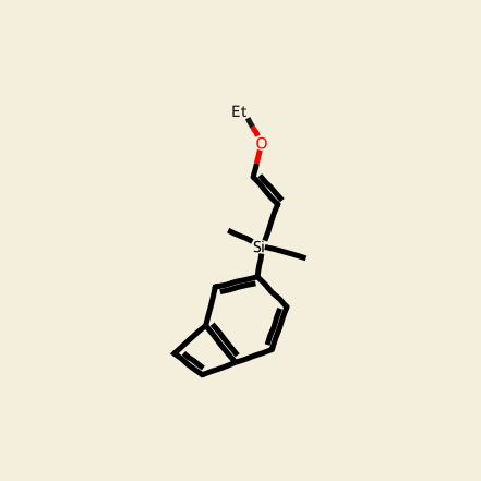 CCOC=C[Si](C)(C)c1ccc2c(c1)C=C2